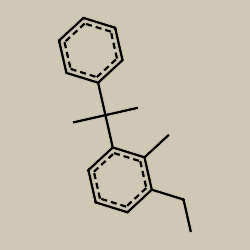 CCc1cccc(C(C)(C)c2ccccc2)c1C